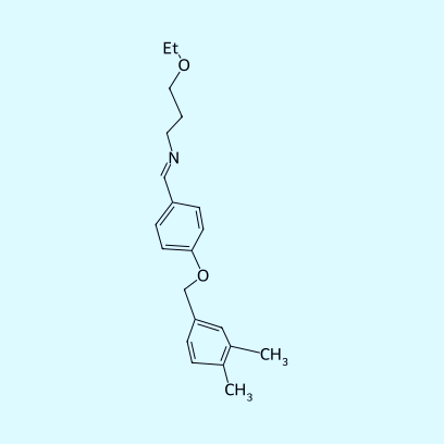 CCOCCCN=Cc1ccc(OCc2ccc(C)c(C)c2)cc1